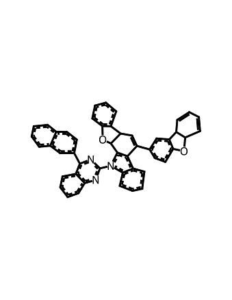 C1=CC2Oc3ccc(C4=CC5c6ccccc6OC5c5c4c4ccccc4n5-c4nc(-c5ccc6ccccc6c5)c5ccccc5n4)cc3C2C=C1